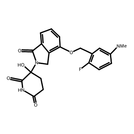 CNc1ccc(F)c(COc2cccc3c2CN(C2(O)CCC(=O)NC2=O)C3=O)c1